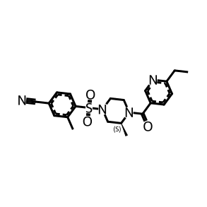 CCc1ccc(C(=O)N2CCN(S(=O)(=O)c3ccc(C#N)cc3C)C[C@@H]2C)cn1